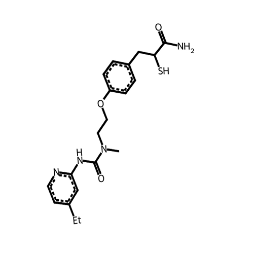 CCc1ccnc(NC(=O)N(C)CCOc2ccc(CC(S)C(N)=O)cc2)c1